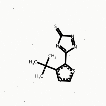 CC(C)(C)c1ccsc1C1=NC(=S)N=N1